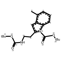 Cc1cccc2c1cc(CCNC(=O)OC(C)(C)C)n2C(=O)OC(C)(C)C